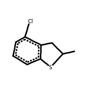 C[C]1Cc2c(Cl)cccc2S1